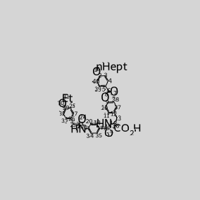 CCCCCCCOc1ccc(C(=O)Oc2ccc(C[C@H](NC(=O)c3ccc(NC(=O)Cc4ccc(OCC)cc4)cc3)C(=O)O)cc2)cc1